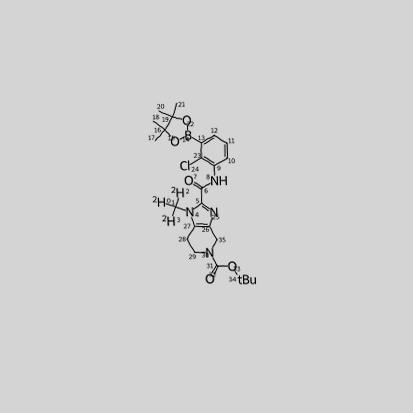 [2H]C([2H])([2H])n1c(C(=O)Nc2cccc(B3OC(C)(C)C(C)(C)O3)c2Cl)nc2c1CCN(C(=O)OC(C)(C)C)C2